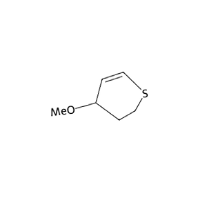 [CH2]OC1C=CSCC1